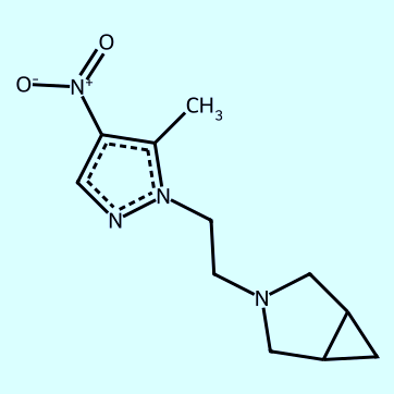 Cc1c([N+](=O)[O-])cnn1CCN1CC2CC2C1